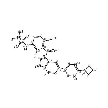 CCN(C)S(=O)(=O)Nc1ccc(F)c(C(=O)c2c[nH]c3ncc(-c4cnc(N5CCC5)nc4)cc23)c1F